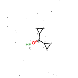 F.O=C(C1CC1)C1CC1